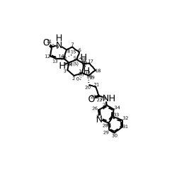 C[C@]12CC[C@H]3[C@@H](CCC4NC(=O)C=C[C@@]43C)[C@@H]1CC[C@@H]2CCC(=O)Nc1cnc2ccccc2c1